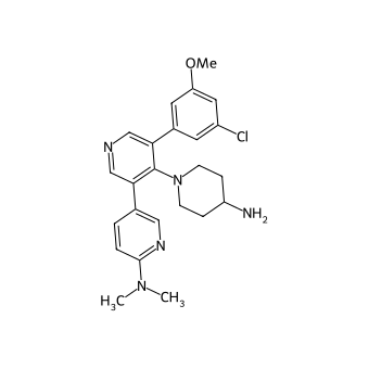 COc1cc(Cl)cc(-c2cncc(-c3ccc(N(C)C)nc3)c2N2CCC(N)CC2)c1